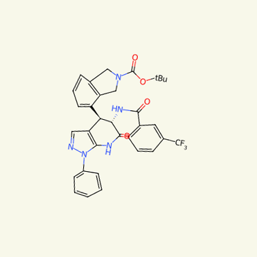 CC(C)(C)OC(=O)N1Cc2cccc([C@@H]3c4cnn(-c5ccccc5)c4NC(=O)[C@H]3NC(=O)c3cccc(C(F)(F)F)c3)c2C1